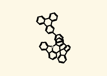 c1ccc2c(c1)-c1cccc(-c3ccc(-c4ccc5c6ccccc6c6ccccc6c5c4)cc3)c1C21c2ccccc2-n2c3ccccc3c3cccc1c32